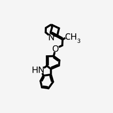 CC(COc1ccc2c(c1)[nH]c1ccccc12)=C1CC2CCN1CC2